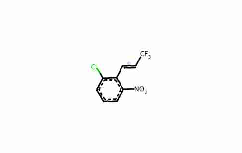 O=[N+]([O-])c1cccc(Cl)c1/C=C/C(F)(F)F